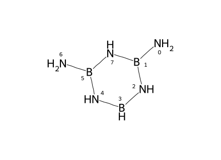 NB1NBNB(N)N1